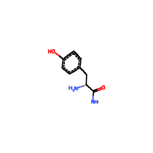 [NH]C(=O)[C@H](N)Cc1ccc(O)cc1